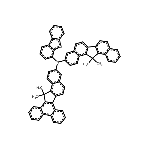 CC1(C)c2c(ccc3ccccc23)-c2ccc3cc(N(c4ccc5c6c(ccc5c4)-c4c(c5ccccc5c5ccccc45)C6(C)C)c4cccc5c4oc4ccccc45)ccc3c21